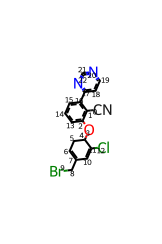 N#Cc1c(OC2CC=C(CBr)C=C2Cl)cccc1-c1ccncn1